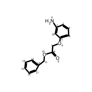 Nc1cccc(OCC(=O)OCc2ccccc2)c1